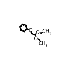 CCOC(COc1[c]cccc1)OCC